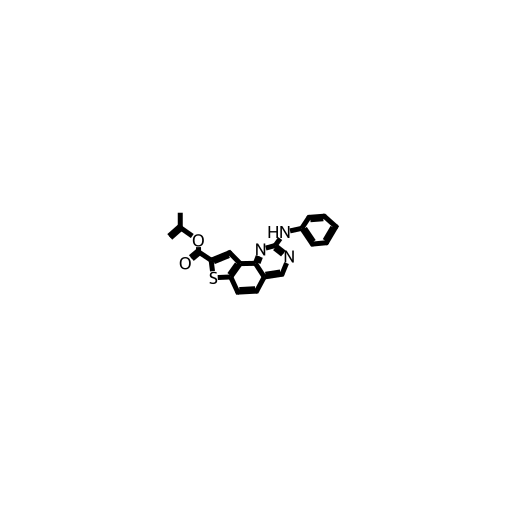 C=C(C)OC(=O)c1cc2c(ccc3cnc(Nc4ccccc4)nc32)s1